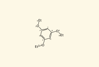 CCOc1[c]c(OCC)cc(OCC)c1